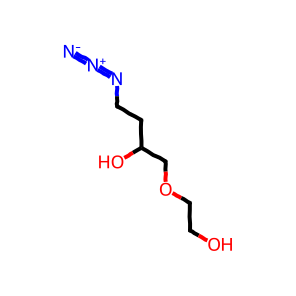 [N-]=[N+]=NCCC(O)COCCO